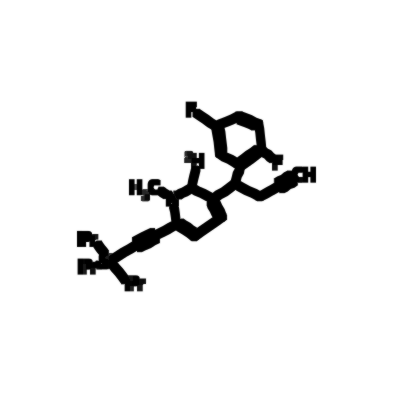 [2H]C1C(C(CC#C)c2cc(F)ccc2F)=CC=C(C#C[Si](C(C)C)(C(C)C)C(C)C)N1C